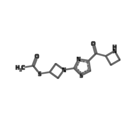 CC(=O)SC1CN(c2nc(C(=O)C3CCN3)cs2)C1